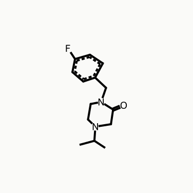 CC(C)N1CCN(Cc2ccc(F)cc2)C(=O)C1